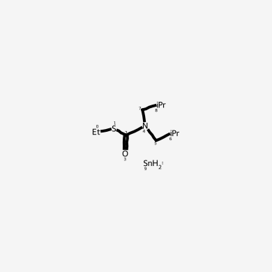 CCSC(=O)N(CC(C)C)CC(C)C.[SnH2]